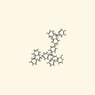 CC1CC=Cc2c1cc(N(c1ccc(-c3ccc4c(c3)c3ccccc3n4-c3ccccc3)cc1)c1ccc(-c3cc4ccccc4c4ccccc34)cc1)c1ccccc21